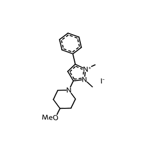 COC1CCN(c2cc(-c3ccccc3)[n+](C)n2C)CC1.[I-]